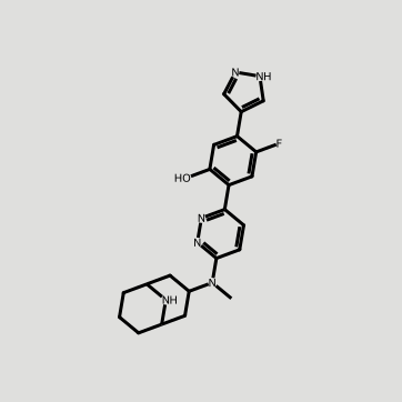 CN(c1ccc(-c2cc(F)c(-c3cn[nH]c3)cc2O)nn1)C1CC2CCCC(C1)N2